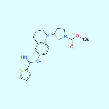 CC(C)(C)OC(=O)N1CCC(N2CCCc3cc(NC(=N)c4cccs4)ccc32)C1